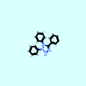 c1ccc(C2=NNN(c3ccccc3)N2c2ccccc2)cc1